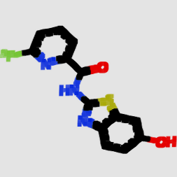 O=C(Nc1nc2ccc(O)cc2s1)c1cccc([19F])n1